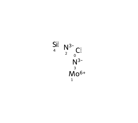 [C].[Mo+6].[N-3].[N-3].[Si]